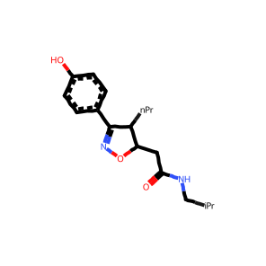 CCCC1C(c2ccc(O)cc2)=NOC1CC(=O)NCC(C)C